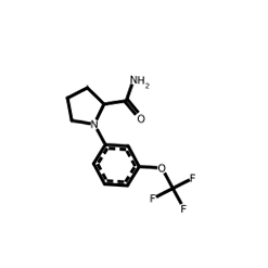 NC(=O)C1[CH]CCN1c1cccc(OC(F)(F)F)c1